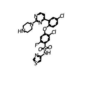 O=S(=O)(Nc1cscn1)c1cc(Cl)c(Oc2ccc(Cl)cc2-c2ccnc(N3CCNCC3)n2)cc1F